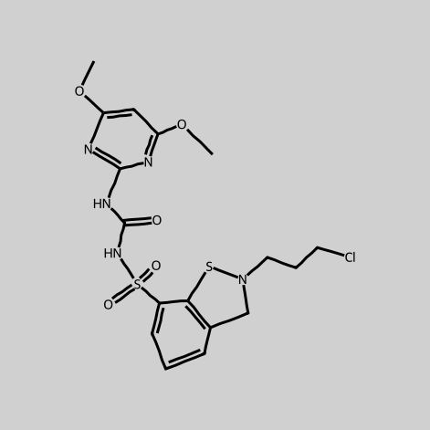 COc1cc(OC)nc(NC(=O)NS(=O)(=O)c2cccc3c2SN(CCCCl)C3)n1